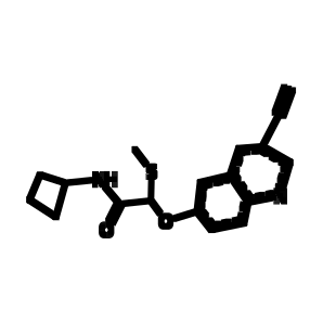 C#Cc1cnc2ccc(OC(SC)C(=O)NC3CCC3)cc2c1